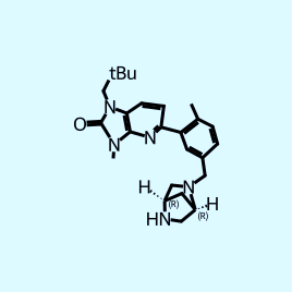 Cc1ccc(CN2C[C@H]3C[C@@H]2CN3)cc1-c1ccc2c(n1)n(C)c(=O)n2CC(C)(C)C